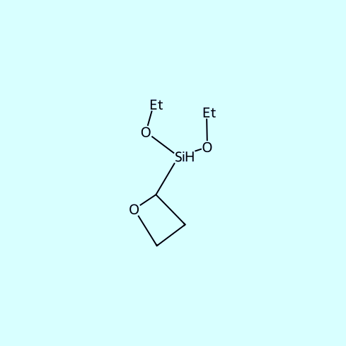 CCO[SiH](OCC)C1CCO1